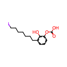 O=C(O)Oc1cccc(CCCCCCCI)c1O